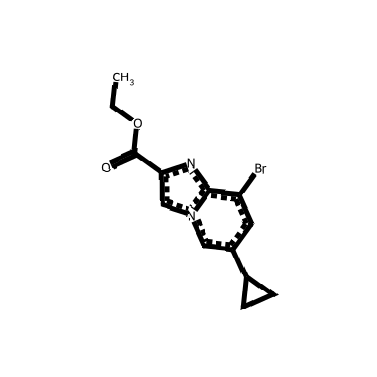 CCOC(=O)c1cn2cc(C3CC3)cc(Br)c2n1